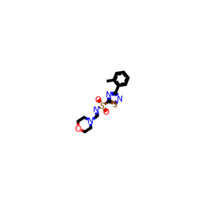 Cc1ccccc1-c1nsc(S(=O)(=O)N=CN2CCOCC2)n1